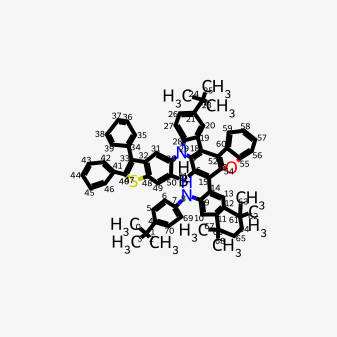 CC(C)(C)c1ccc(Nc2cc3c(cc2-c2c4c5c(c6cc(C(C)(C)C)ccc6n5-c5cc6c(-c7ccccc7)c(-c7ccccc7)sc6cc5B4)c4c2oc2ccccc24)C(C)(C)CCC3(C)C)cc1